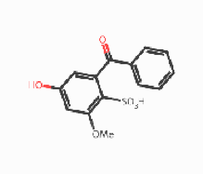 COc1cc(O)cc(C(=O)c2ccccc2)c1S(=O)(=O)O